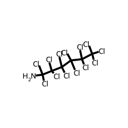 NC(Cl)(Cl)C(Cl)(Cl)C(Cl)(Cl)C(Cl)(Cl)C(Cl)(Cl)C(Cl)(Cl)Cl